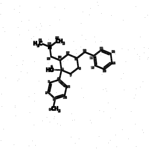 Cc1ccc(C2(O)CCC(Cc3ccccc3)CC2CN(C)C)cc1